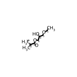 CCOCC(O)COC(=O)C(C)C